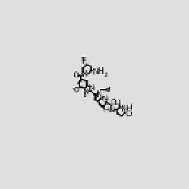 COc1cc(C(=O)N2C[C@H](N)C[C@@H](F)C2)cc2nc(-c3cc4ccc(C(=O)NC5CCC(=O)NC5=O)nc4n3CC3CC3)n(C)c12